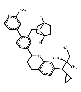 COc1cc(-c2ccc(C3CCc4ccc([C@H](C5CC5)[C@](C)(C=O)CO)cc4O3)cc2CN2[C@H]3CC[C@@H]2CC3)ccn1